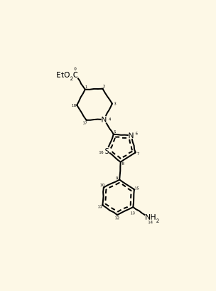 CCOC(=O)C1CCN(c2ncc(-c3cccc(N)c3)s2)CC1